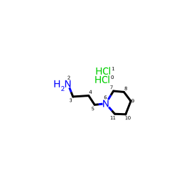 Cl.Cl.NCCCN1CCCCC1